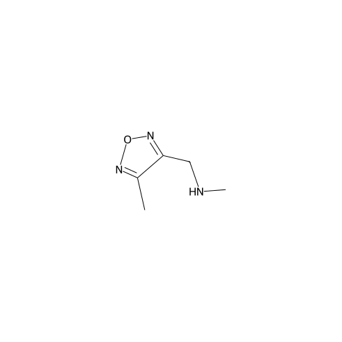 CNCc1nonc1C